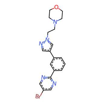 Brc1cnc(-c2cccc(-c3cnn(CCN4CCOCC4)c3)c2)nc1